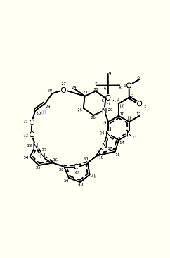 COC(=O)[C@@H](OC(C)(C)C)c1c(C)nc2cc3nn2c1N1CCC(C)(CC1)OC/C=C/CCn1ccc(n1)-c1cccc-3c1